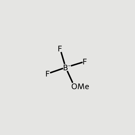 CO[B-](F)(F)F